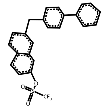 O=S(=O)(Oc1ccc2ccc(Cc3ccc(-c4ccccc4)cc3)cc2c1)C(F)(F)F